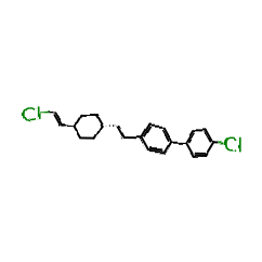 Cl/C=C/[C@H]1CC[C@H](CCc2ccc(-c3ccc(Cl)cc3)cc2)CC1